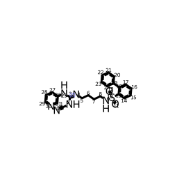 N#CN/C(=N\CCCCNS(=O)(=O)c1ccccc1-c1ccccc1)Nc1cccnc1